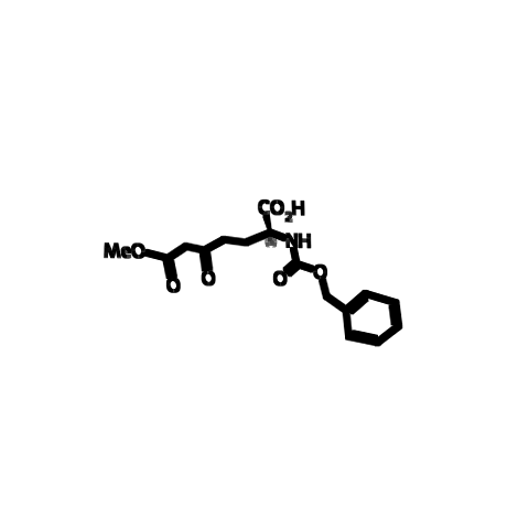 COC(=O)CC(=O)CC[C@H](NC(=O)OCc1ccccc1)C(=O)O